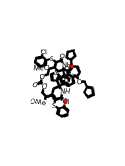 COC(COC(=O)OCC(OC)C1=C(Sc2ccccc2Cl)C(=O)NC(c2ccsc2)(c2cccc(OCC3CCCC3)n2)C1)C1=C(Sc2ccccc2Cl)C(=O)NC(c2ccsc2)(c2cccc(OCC3CCCC3)n2)C1